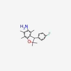 Cc1c(C)c2c(c(C)c1N)C(c1ccc(F)cc1)C(C)(C)O2